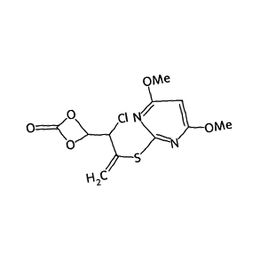 C=C(Sc1nc(OC)cc(OC)n1)C(Cl)C1OC(=O)O1